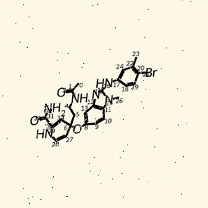 CC(=O)NCCC1(Oc2ccc3c(c2)nc(Nc2ccc(Br)c(C)c2)n3C)C=CNC(C(N)=O)=C1